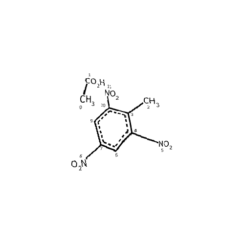 CC(=O)O.Cc1c([N+](=O)[O-])cc([N+](=O)[O-])cc1[N+](=O)[O-]